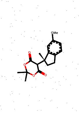 COc1ccc2c(c1)[C@@](C)(C1C(=O)OC(C)(C)OC1=O)CC2